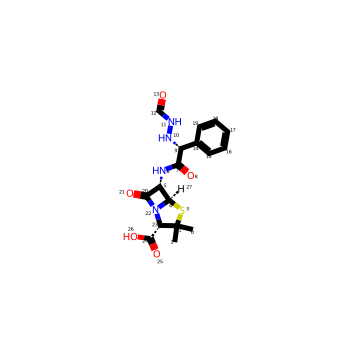 CC1(C)S[C@@H]2[C@@H](NC(=O)[C@H](NNC=O)c3ccccc3)C(=O)N2[C@H]1C(=O)O